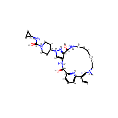 C=C/C1=C\N(C)CCCCCCNC(=O)c2nn(C3CCN(C(=O)NC4CC4)CC3)cc2NC(=O)c2cccc1n2